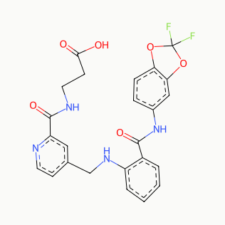 O=C(O)CCNC(=O)c1cc(CNc2ccccc2C(=O)Nc2ccc3c(c2)OC(F)(F)O3)ccn1